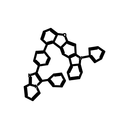 c1ccc(-c2c(-c3ccc(-c4cccc5oc6cc7c(cc6c45)c4ccccc4n7-c4ccccc4)cc3)nc3ccccn23)cc1